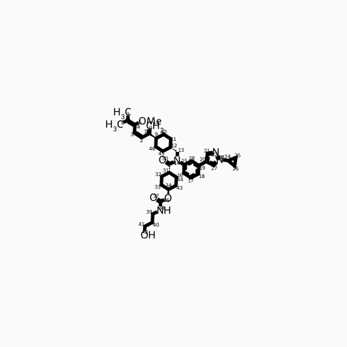 C=C(/C=C\C(OC)=C(C)C)[C@H]1CC[C@H](CN(c2cccc(-c3cnn(C4CC4)c3)c2)C(=O)[C@H]2CC[C@H](OC(=O)NCCCO)CC2)CC1